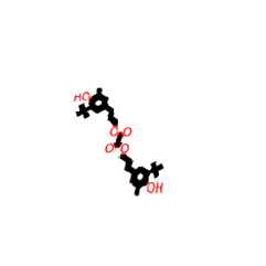 Cc1cc(CCCOC(=O)C(=O)OCCCc2cc(C)c(O)c(C(C)(C)C)c2)cc(C(C)(C)C)c1O